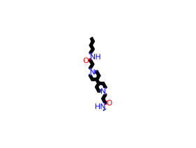 CCCCCNC(=O)CCN1CCC(C2CCN(CCC(=O)NC)CC2)CC1